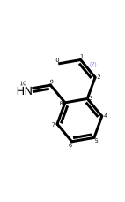 C/C=C\c1ccccc1C=N